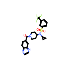 O=C(c1ccc2nccnc2c1)N1CCC(N(C2CC2)S(=O)(=O)c2cccc(C(F)(F)F)c2)CC1